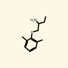 CCC(N)COc1c(C)cccc1C